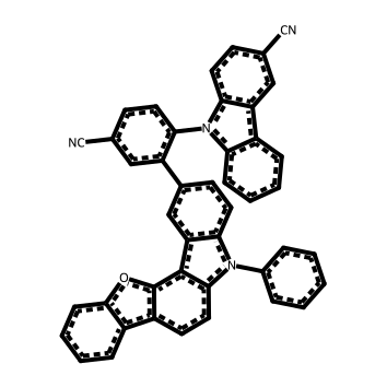 N#Cc1ccc(-n2c3ccccc3c3cc(C#N)ccc32)c(-c2ccc3c(c2)c2c4oc5ccccc5c4ccc2n3-c2ccccc2)c1